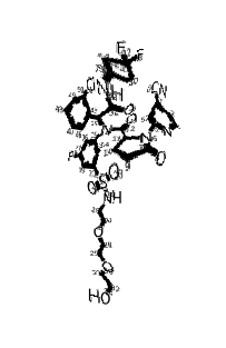 N#Cc1ccnc(N2C(=O)CC[C@H]2C(=O)N(c2cc(F)cc(S(=O)(=O)NCCOCCOCCO)c2)C(C(=O)NC2CC(F)(F)C2)c2ccccc2Cl)c1